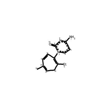 CCC1=C(n2ccc(N)nc2=O)C=CC(C)=CC1